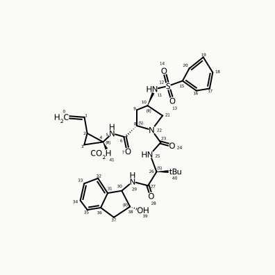 C=CC1C[C@]1(NC(=O)[C@@H]1C[C@@H](NS(=O)(=O)c2ccccc2)CN1C(=O)N[C@H](C(=O)NC1c2ccccc2C[C@H]1O)C(C)(C)C)C(=O)O